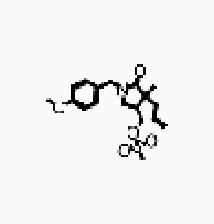 C=CCC1(C)C(=O)N(Cc2ccc(OC)cc2)CC1COS(C)(=O)=O